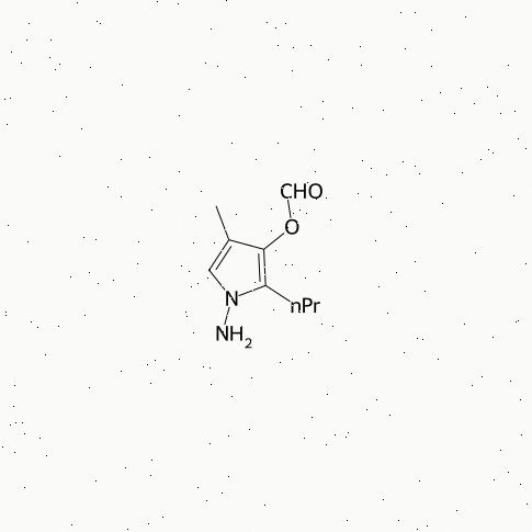 CCCc1c(OC=O)c(C)cn1N